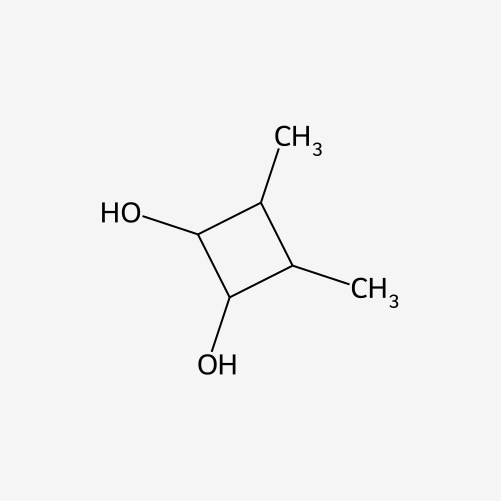 CC1C(C)C(O)C1O